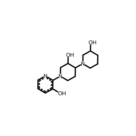 Oc1cccnc1N1CCC(N2CCCC(O)C2)C(O)C1